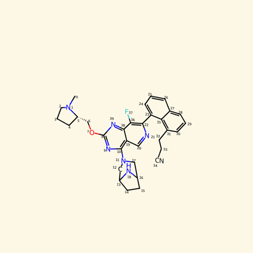 CN1CCC[C@H]1COc1nc(N2CC3CCC(C2)N3)c2cnc(-c3cccc4cccc(CCC#N)c34)c(F)c2n1